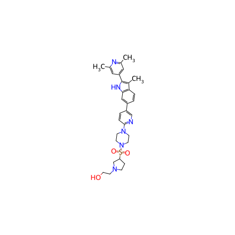 Cc1cc(-c2[nH]c3cc(-c4ccc(N5CCN(S(=O)(=O)C6CCN(CCO)C6)CC5)nc4)ccc3c2C)cc(C)n1